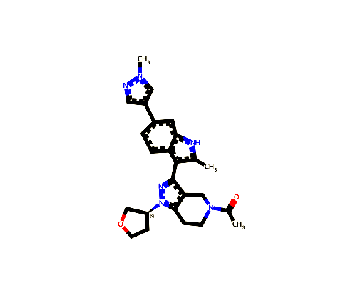 CC(=O)N1CCc2c(c(-c3c(C)[nH]c4cc(-c5cnn(C)c5)ccc34)nn2[C@H]2CCOC2)C1